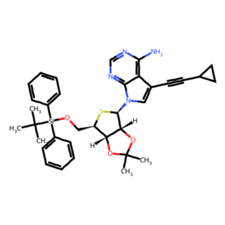 CC1(C)O[C@@H]2[C@H](O1)[C@@H](CO[Si](c1ccccc1)(c1ccccc1)C(C)(C)C)S[C@H]2n1cc(C#CC2CC2)c2c(N)ncnc21